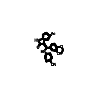 CC(=O)c1ccc2c(c1)/C(=C(/Nc1ccc(C#N)cc1)c1ccc3c(c1)OCCO3)C(=O)N2